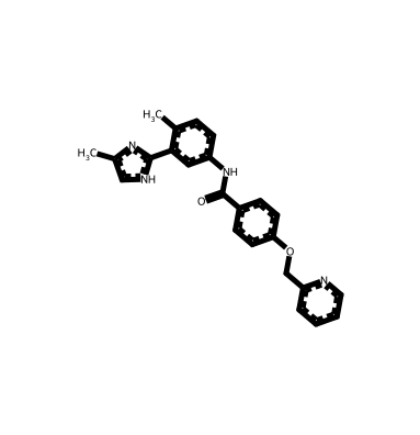 Cc1c[nH]c(-c2cc(NC(=O)c3ccc(OCc4ccccn4)cc3)ccc2C)n1